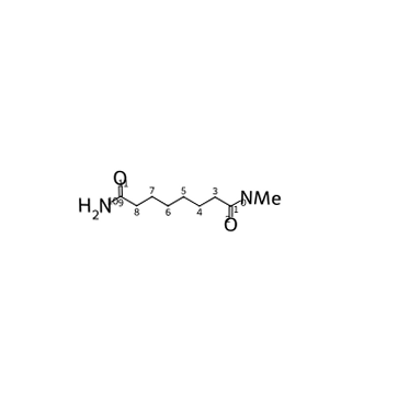 CNC(=O)CCCCCCC(N)=O